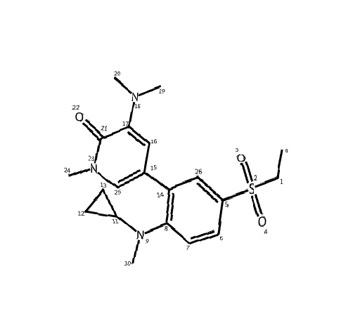 CCS(=O)(=O)c1ccc(N(C)C2CC2)c(-c2cc(N(C)C)c(=O)n(C)c2)c1